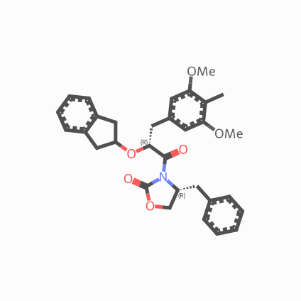 COc1cc(C[C@@H](OC2Cc3ccccc3C2)C(=O)N2C(=O)OC[C@H]2Cc2ccccc2)cc(OC)c1C